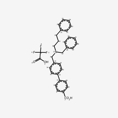 O=C(O)C(F)(F)F.O=C(O)c1ccc(-c2ccc(CN(CCCc3ccccc3)Cc3ccccc3)cc2)cc1